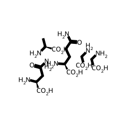 C[C@H](N)C(=O)O.NC(=O)CC[C@H](N)C(=O)O.NC(=O)C[C@H](N)C(=O)O.NCC(=O)O.NCC(=O)O